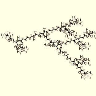 CC(C)(C)OC(=O)CCC(NC(=O)CCCCCNC(=O)CCC(NC(=O)CCC(N)C(O)NC(CCC(=O)NCCCCCC(=O)NC(CCC(=O)OC(C)(C)C)C(=O)OC(C)(C)C)C(O)NCCCCCC(=O)NC(CCC(=O)OC(C)(C)C)C(=O)OC(C)(C)C)C(=O)NCCCCCC(=O)NC(CCC(=O)OC(C)(C)C)C(=O)OC(C)(C)C)C(=O)OC(C)(C)C